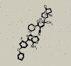 CC(C)(/C=C(/C#N)C(=O)N1CCC[C@@H](c2nc(-c3ccc(Oc4ccccc4)cc3F)c3c(N)nccn23)C1)N1CCN2C(=O)CC[C@@H]2C1